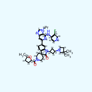 CC(C)n1cnc2cc(-c3ccc4c(c3)N(C3CC(N5CCC(C)(C)C5)C3)C(=O)C43CCN(C(=O)[C@H]4CC[C@@H](C)O4)CC3)nc(Nc3ccncc3F)c21